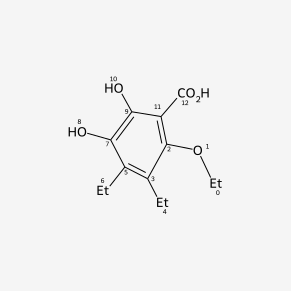 CCOc1c(CC)c(CC)c(O)c(O)c1C(=O)O